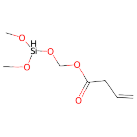 C=CCC(=O)OCO[SiH](OC)OC